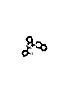 Clc1ccccc1-c1nc(N2CCc3ccccc3C2)c2ccccc2n1